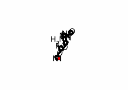 Nc1ncnc2c1c(-c1ccc(Oc3cc(F)cc(OCc4cncnc4)c3)cc1)nn2C1CCOCC1